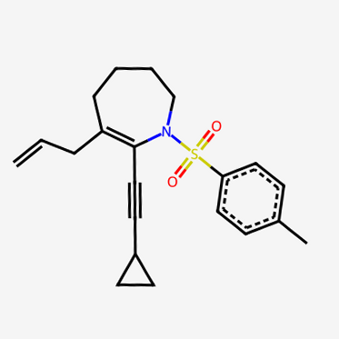 C=CCC1=C(C#CC2CC2)N(S(=O)(=O)c2ccc(C)cc2)CCCC1